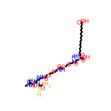 CCN[C@@H](CS)C(=O)N[C@@H](CCCCNC(=O)COCCOCCNC(=O)COCCOCCNC(=O)CC[C@H](NC(=O)CCCCCCCCCCCCCCCCC(=O)O)C(=O)O)C(=O)N[C@@H](CS)C(=O)P